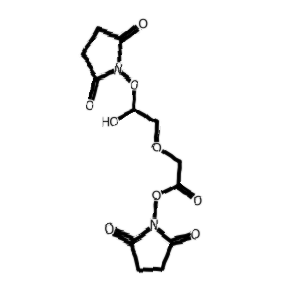 O=C(COCC(O)ON1C(=O)CCC1=O)ON1C(=O)CCC1=O